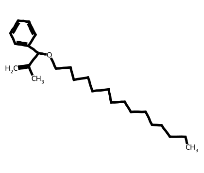 C=C(C)C(OCCCCCCCCCCCCCCC)c1ccccc1